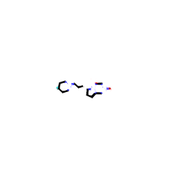 C[C@H]1C(=O)N2C(=CC[C@@H]2CCCN2CCC(F)(F)CC2)CN1C(=O)O